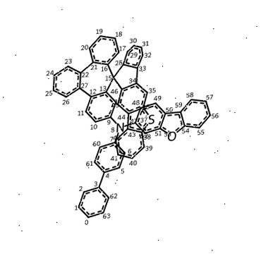 c1ccc(-c2ccc(N(c3ccc4c(c3)C3(c5ccccc5-c5ccccc5-4)c4ccccc4-c4cc5sc6ccccc6c5cc43)c3ccc4c(c3)oc3ccccc34)cc2)cc1